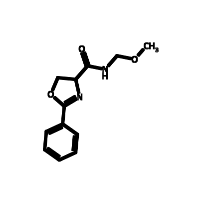 COCNC(=O)C1COC(c2ccccc2)=N1